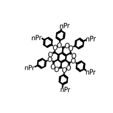 CCCc1ccc(OC(=O)c2c(C(=O)Oc3ccc(CCC)cc3)c(C(=O)Oc3ccc(CCC)cc3)c(C(=O)Oc3ccc(CCC)cc3)c(C(=O)Oc3ccc(CCC)cc3)c2C(=O)Oc2ccc(CCC)cc2)cc1